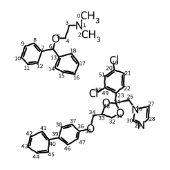 CN(C)CCOC(c1ccccc1)c1ccccc1.Clc1ccc([C@]2(Cn3ccnc3)OC[C@@H](COc3ccc(-c4ccccc4)cc3)O2)c(Cl)c1